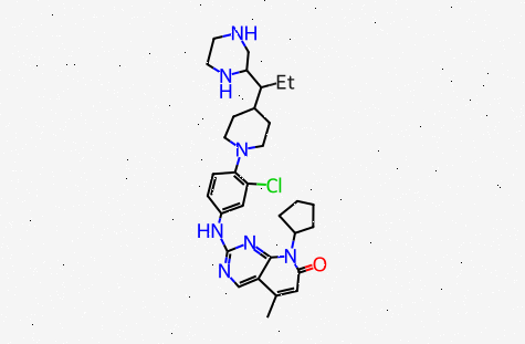 CCC(C1CCN(c2ccc(Nc3ncc4c(C)cc(=O)n(C5CCCC5)c4n3)cc2Cl)CC1)C1CNCCN1